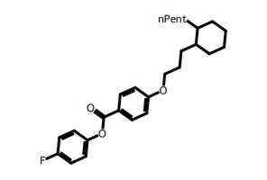 CCCCCC1CCCCC1CCCOc1ccc(C(=O)Oc2ccc(F)cc2)cc1